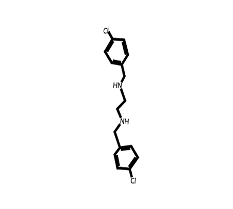 Clc1ccc(CNCCNCc2ccc(Cl)cc2)cc1